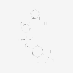 Cn1cncc1-c1cc(S(=O)(=O)Nc2cc(F)c(C(F)(F)F)cc2F)c[nH]1